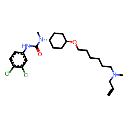 C=CCN(C)CCCCCCO[C@H]1CC[C@H](N(C)C(=O)Nc2ccc(Cl)c(Cl)c2)CC1